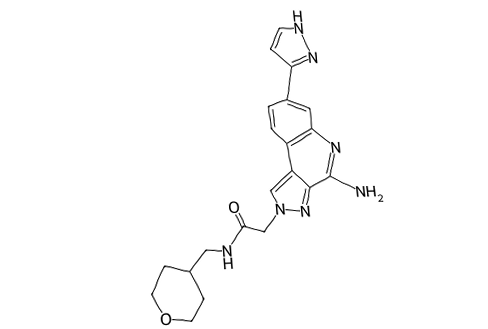 Nc1nc2cc(-c3cc[nH]n3)ccc2c2cn(CC(=O)NCC3CCOCC3)nc12